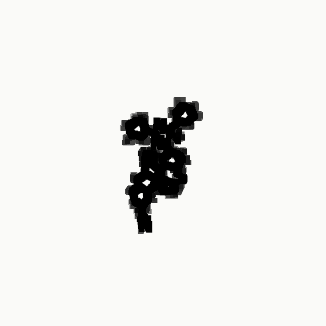 N#Cc1ccc2cc3c(cc2c1)C1(c2ccccc2Sc2ccc(-c4nc(-c5ccccc5)nc(-c5ccccc5)n4)cc21)c1ccccc1-3